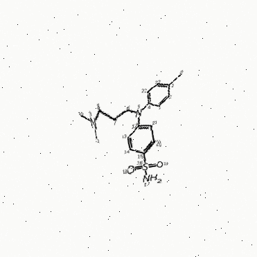 Cc1ccc(N(CCCN(C)C)c2ccc(S(N)(=O)=O)cc2)cc1